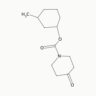 CC1CCCC(OC(=O)N2CCC(=O)CC2)C1